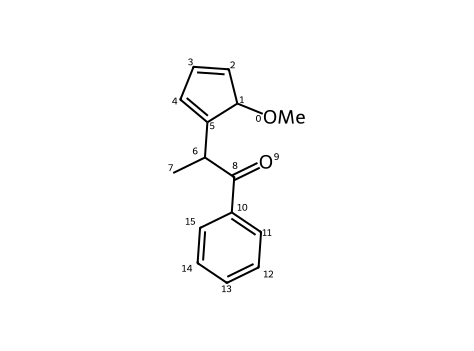 COC1C=CC=C1C(C)C(=O)c1ccccc1